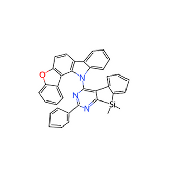 C[Si]1(C)c2ccccc2-c2c(-n3c4ccccc4c4ccc5oc6ccccc6c5c43)nc(-c3ccccc3)nc21